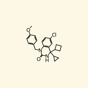 COc1ccc(CN2C(=O)NC(C3CCC3)(C3CC3)c3cc(Cl)ccc32)cc1